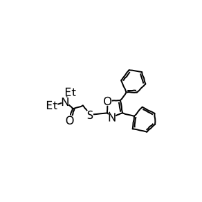 CCN(CC)C(=O)CSc1nc(-c2ccccc2)c(-c2ccccc2)o1